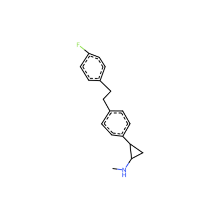 CNC1CC1c1ccc(CCc2ccc(F)cc2)cc1